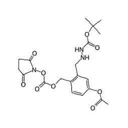 CC(=O)Oc1ccc(COC(=O)ON2C(=O)CCC2=O)c(CNNC(=O)OC(C)(C)C)c1